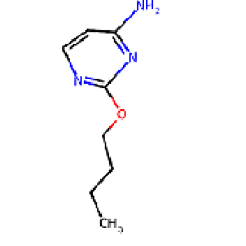 CCCCOc1nccc(N)n1